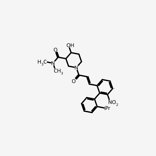 CC(C)c1ccccc1-c1c([N+](=O)[O-])[c]ccc1/C=C/C(=O)N1CCC(O)C(C(=O)N(C)C)C1